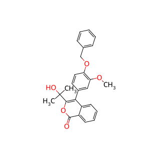 COc1cc(-c2c(C(C)(C)O)oc(=O)c3ccccc23)ccc1OCc1ccccc1